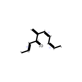 C=C(/C=C\C=C/C)C(=O)/C=C/C